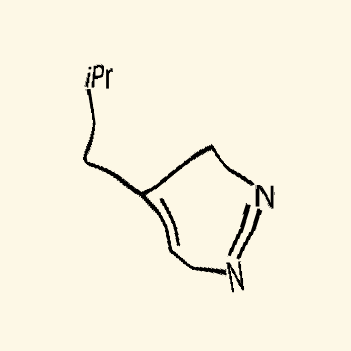 CC(C)CC1=CN=NC1